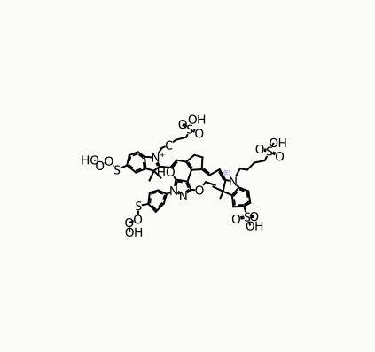 CCOc1nn(-c2ccc(SOOO)cc2)c(O)c1C1=C(C=CC2=[N+](CCCCS(=O)(=O)O)c3ccc(SOOO)cc3C2(C)C)CCC1=C/C=C1/N(CCCCS(=O)(=O)O)c2ccc(S(=O)(=O)O)cc2C1(C)C